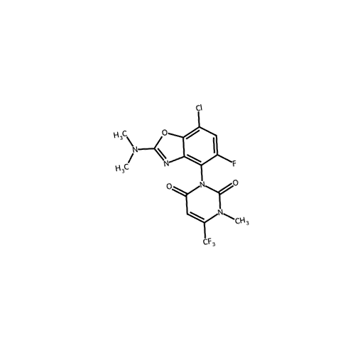 CN(C)c1nc2c(-n3c(=O)cc(C(F)(F)F)n(C)c3=O)c(F)cc(Cl)c2o1